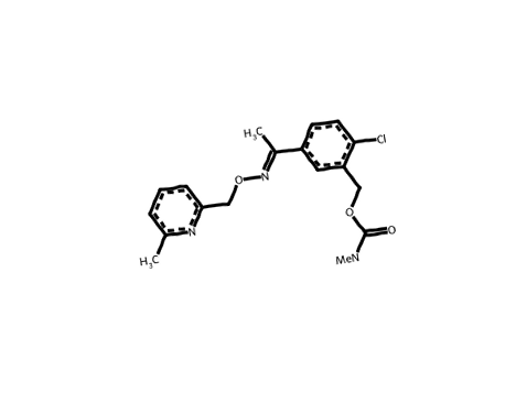 CNC(=O)OCc1cc(C(C)=NOCc2cccc(C)n2)ccc1Cl